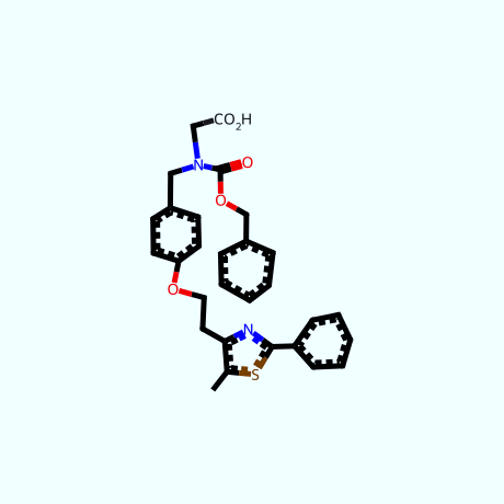 Cc1sc(-c2ccccc2)nc1CCOc1ccc(CN(CC(=O)O)C(=O)OCc2ccccc2)cc1